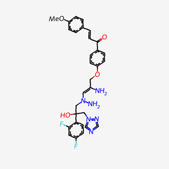 COc1ccc(/C=C/C(=O)c2ccc(OC/C(N)=C/N(N)CC(O)(Cn3cncn3)c3ccc(F)cc3F)cc2)cc1